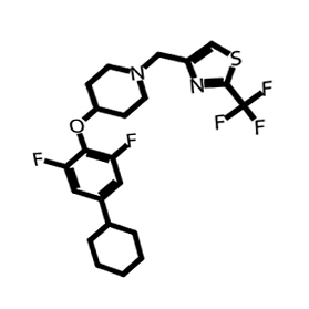 Fc1cc(C2CCCCC2)cc(F)c1OC1CCN(Cc2csc(C(F)(F)F)n2)CC1